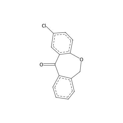 O=C1c2ccccc2COc2ccc(Cl)cc21